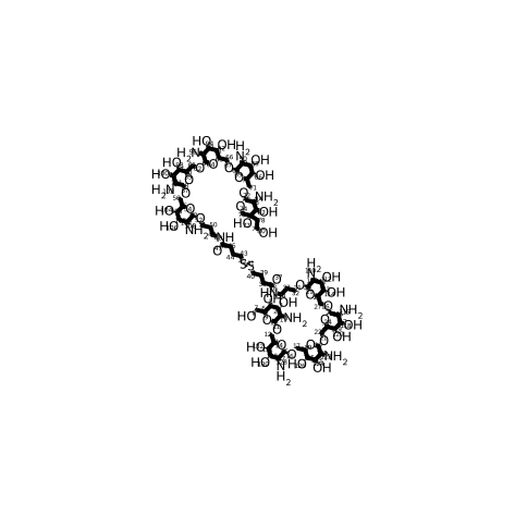 NC1C(O)[C@H](O)C(CO)O[C@H]1OCC1O[C@@H](OCC2O[C@@H](OCC3O[C@@H](OCC4O[C@@H](OCCCNC(=O)CCCSSCCCC(=O)NCCCO[C@@H]5OC(CO[C@@H]6OC(CO[C@@H]7OC(CO[C@@H]8OC(CO[C@@H]9OC[C@@](O)(CCO)C(O)C9N)[C@@H](O)C(O)C8N)[C@@H](O)C(O)C7N)[C@@H](O)C(O)C6N)[C@@H](O)C(O)C5N)C(N)C(O)[C@@H]4O)C(N)C(O)[C@@H]3O)C(N)C(O)[C@@H]2O)C(N)C(O)[C@@H]1O